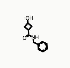 O=C(NCc1ccccc1)C1CC(O)C1